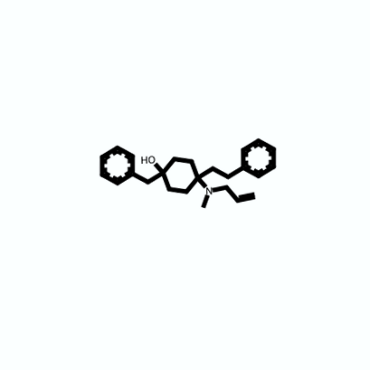 C=CCN(C)C1(CCc2ccccc2)CCC(O)(Cc2ccccc2)CC1